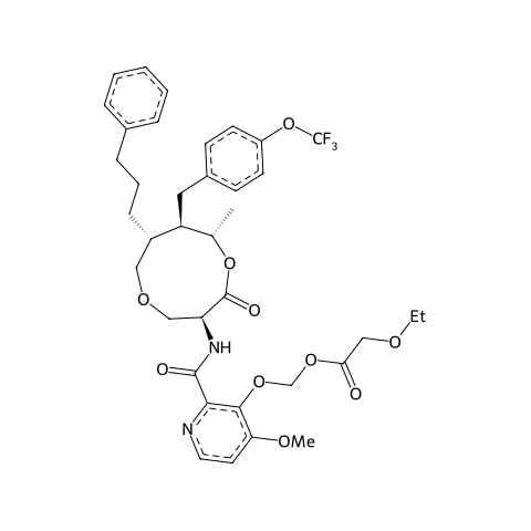 CCOCC(=O)OCOc1c(OC)ccnc1C(=O)N[C@H]1COC[C@H](CCCc2ccccc2)[C@@H](Cc2ccc(OC(F)(F)F)cc2)[C@H](C)OC1=O